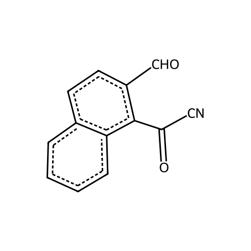 N#CC(=O)c1c(C=O)ccc2ccccc12